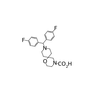 O=C(O)N1CCOC2(CCN(C(c3ccc(F)cc3)c3ccc(F)cc3)CC2)C1